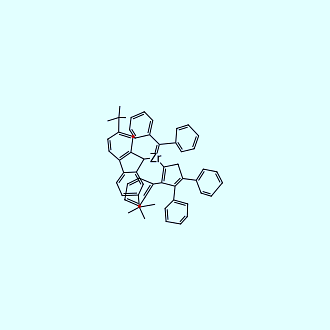 CC(C)(C)c1ccc2c(c1)[CH]([Zr]([C]1=C(c3ccccc3)C(c3ccccc3)=C(c3ccccc3)C1)=[C](c1ccccc1)c1ccccc1)c1cc(C(C)(C)C)ccc1-2